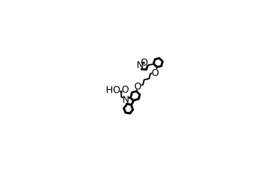 O=C(O)Cn1c2ccccc2c2ccc(OCCCCOc3ccccc3-c3ccno3)cc21